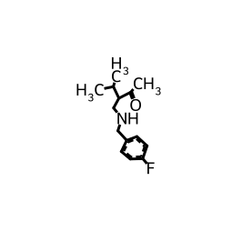 CC(=O)C(CNCc1ccc(F)cc1)C(C)C